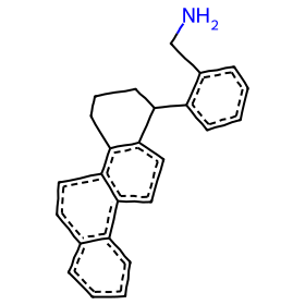 NCc1ccccc1C1CCCc2c1ccc1c2ccc2ccccc21